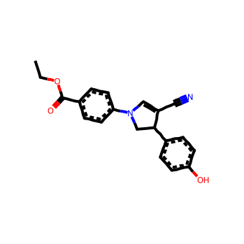 CCOC(=O)c1ccc(N2C=C(C#N)C(c3ccc(O)cc3)C2)cc1